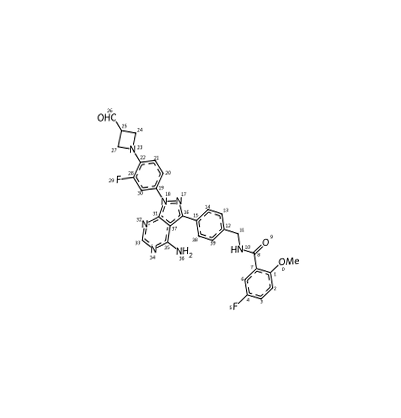 COc1ccc(F)cc1C(=O)NCc1ccc(-c2nn(-c3ccc(N4CC(C=O)C4)c(F)c3)c3ncnc(N)c23)cc1